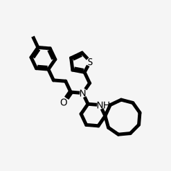 Cc1ccc(CCC(=O)N(Cc2cccs2)C2CCCC3(CCCCCCCC3)N2)cc1